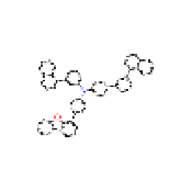 c1cc(-c2ccc(N(c3ccc(-c4cccc5c4oc4ccccc45)cc3)c3cccc(-c4cccc5ccccc45)c3)cc2)cc(-c2cccc3ccccc23)c1